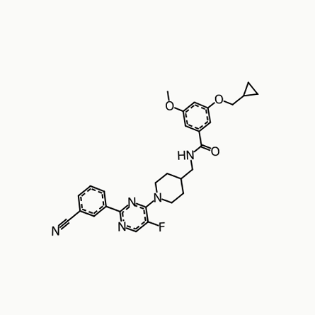 COc1cc(OCC2CC2)cc(C(=O)NCC2CCN(c3nc(-c4cccc(C#N)c4)ncc3F)CC2)c1